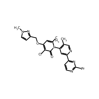 Cc1cnc(-c2ccnc(C(C)C)n2)cc1-n1c(C)cc(OCc2ccn(C)n2)c(Cl)c1=O